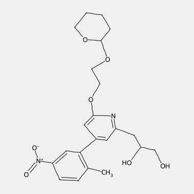 Cc1ccc([N+](=O)[O-])cc1-c1cc(CC(O)CO)nc(OCCOC2CCCCO2)c1